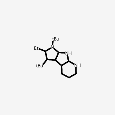 CCC1C(C(C)(C)C)C2C3CCCNC3NC2N1C(C)(C)C